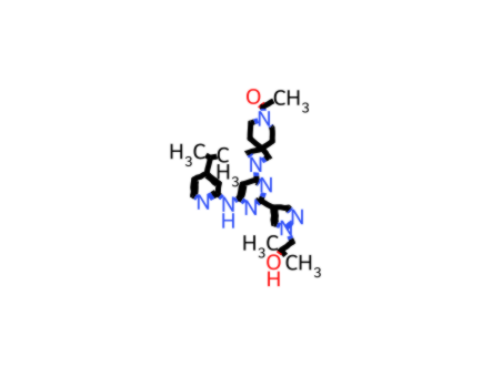 CC(=O)N1CCC2(CC1)CN(c1cc(Nc3cc(C(C)C)ccn3)nc(-c3cnn(CC(C)(C)O)c3)n1)C2